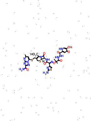 Cc1cc(SCC2=C(C(=O)O)N3C(=O)[C@@H](NC(=O)C(=NOC(C)(C)C(=O)NNC(=O)c4cc(=O)c(O)c[nH]4)c4csc(N)n4)[C@H]3SC2)n2nc(C(N)=O)nc2n1